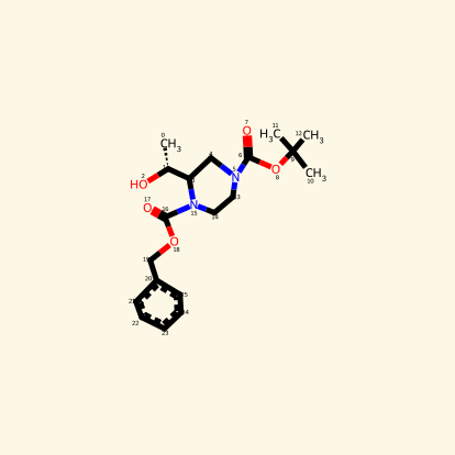 C[C@@H](O)C1CN(C(=O)OC(C)(C)C)CCN1C(=O)OCc1ccccc1